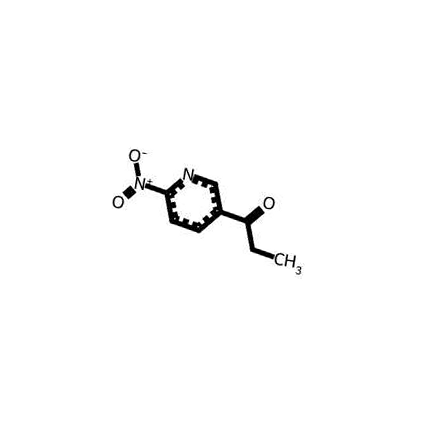 CCC(=O)c1ccc([N+](=O)[O-])nc1